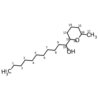 CCCCCCCCCCC(O)C1CCCC(C)O1